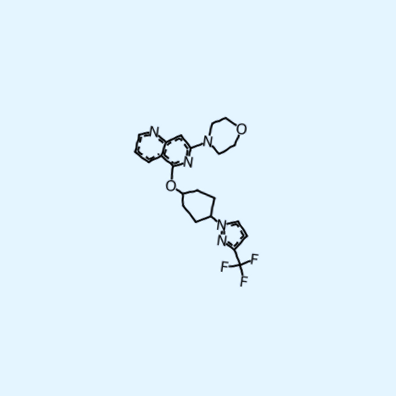 FC(F)(F)c1ccn(C2CCC(Oc3nc(N4CCOCC4)cc4ncccc34)CC2)n1